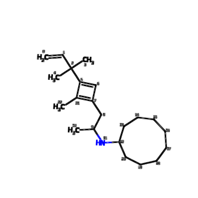 C=CC(C)(C)C1=CC(CC(C)NC2CCCCCCCC2)=C1C